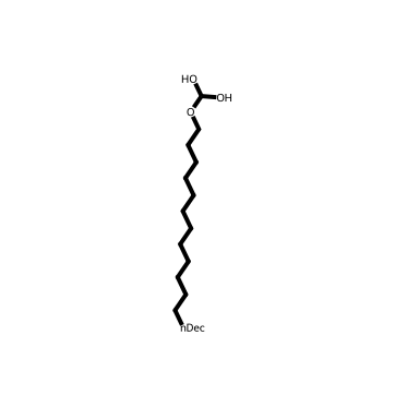 CCCCCCCCCCCCCCCCCCCCCCOC(O)O